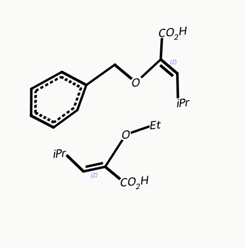 CC(C)/C=C(\OCc1ccccc1)C(=O)O.CCO/C(=C\C(C)C)C(=O)O